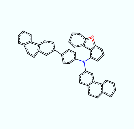 c1ccc2c(c1)ccc1cc(-c3ccc(N(c4ccc5ccc6ccccc6c5c4)c4cccc5oc6ccccc6c45)cc3)ccc12